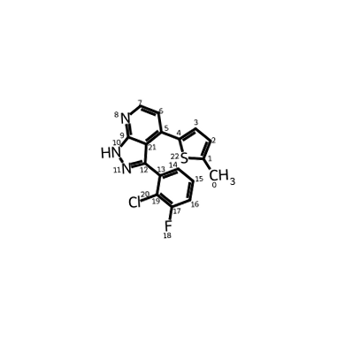 Cc1ccc(-c2ccnc3[nH]nc(-c4cccc(F)c4Cl)c23)s1